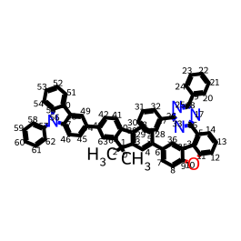 CC1(C)c2cc(-c3ccc4oc5cccc(-c6nc(-c7ccccc7)nc(-c7ccccc7)n6)c5c4c3)ccc2-c2ccc(-c3ccc4c(c3)c3ccccc3n4-c3ccccc3)cc21